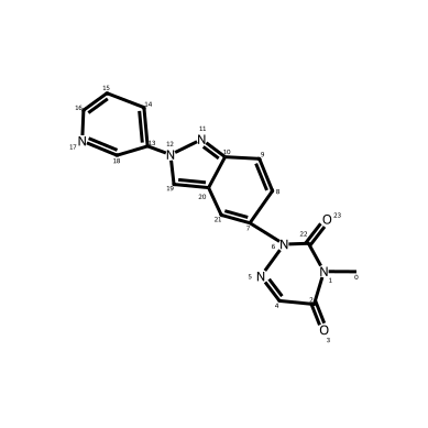 Cn1c(=O)cnn(-c2ccc3nn(-c4cccnc4)cc3c2)c1=O